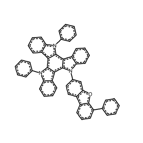 c1ccc(-c2cccc3c2oc2cc(-n4c5ccccc5c5c6c(c7ccccc7n6-c6ccccc6)c6c(c7ccccc7n6-c6ccccc6)c54)ccc23)cc1